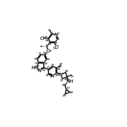 Cc1ncc(Cl)c([C@@H](C)Oc2ccc3[nH]nc(-c4cnc(N5CC(C)(NCC6CC6)C5)c(F)c4)c3c2)c1Cl